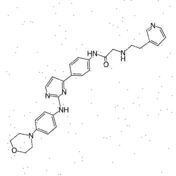 O=C(CNCCc1cccnc1)Nc1ccc(-c2ccnc(Nc3ccc(N4CCOCC4)cc3)n2)cc1